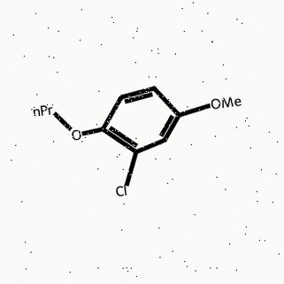 [CH2]CCOc1ccc(OC)cc1Cl